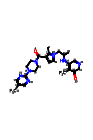 Cc1c(C(=O)N2CCN(c3ncc(C(F)(F)F)cn3)CC2)ccn1CC(C)NC1=C(C(F)(F)F)C(=O)CN=C1